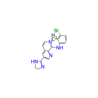 Cc1c(Br)cccc1Nc1nccc2cc(C3=NCCN3)cnc12